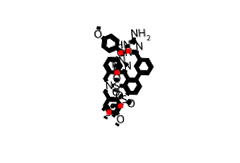 COc1ccc(CN(Cc2ccc(OC)cc2)S(=O)(=O)c2c(S(=O)(=O)CC[Si](C)(C)C)ccc(-c3cccc(-c4n[nH]c(N)n4)c3)c2-c2nnn(Cc3ccc(OC)cc3)n2)cc1